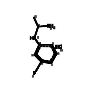 CC(N)Nc1cccc(F)c1.Cl